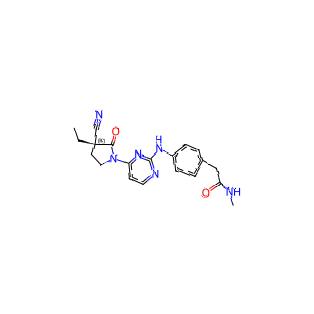 CC[C@]1(C#N)CCN(c2ccnc(Nc3ccc(CC(=O)NC)cc3)n2)C1=O